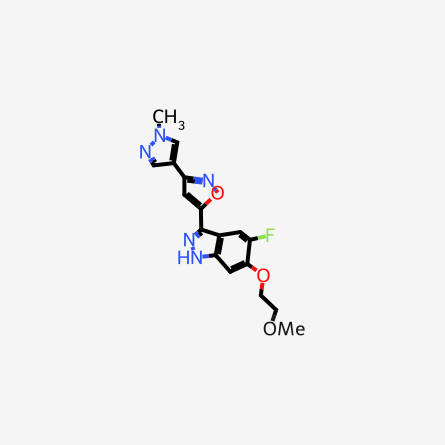 COCCOc1cc2[nH]nc(-c3cc(-c4cnn(C)c4)no3)c2cc1F